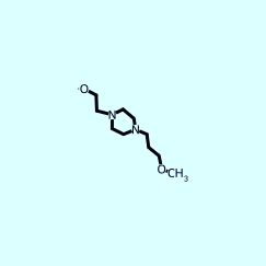 COCCCN1CCN(CC[O])CC1